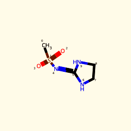 CS(=O)(=O)N=C1NCCN1